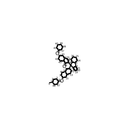 Cc1ccc(Oc2ccc3c4c(ccc3c2)C2(c3ccccc3-c3ccccc32)c2ccc3cc(Oc5ccccc5)ccc3c2O4)cc1